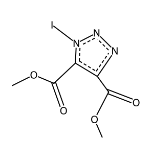 COC(=O)c1nnn(I)c1C(=O)OC